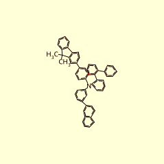 CC1(C)c2ccccc2-c2ccc(-c3ccc(N(c4cccc(-c5ccc6ccccc6c5)c4)c4ccccc4-c4ccccc4-c4ccccc4)cc3)cc21